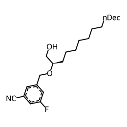 CCCCCCCCCCCCCCCCC[C@H](CO)OCc1cc(F)cc(C#N)c1